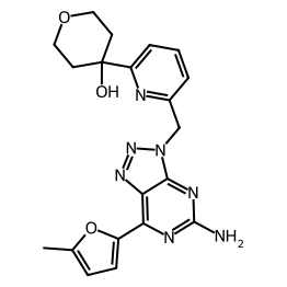 Cc1ccc(-c2nc(N)nc3c2nnn3Cc2cccc(C3(O)CCOCC3)n2)o1